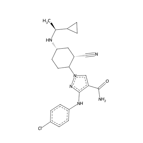 C[C@H](N[C@H]1CCC(n2cc(C(N)=O)c(Nc3ccc(Cl)cc3)n2)[C@@H](C#N)C1)C1CC1